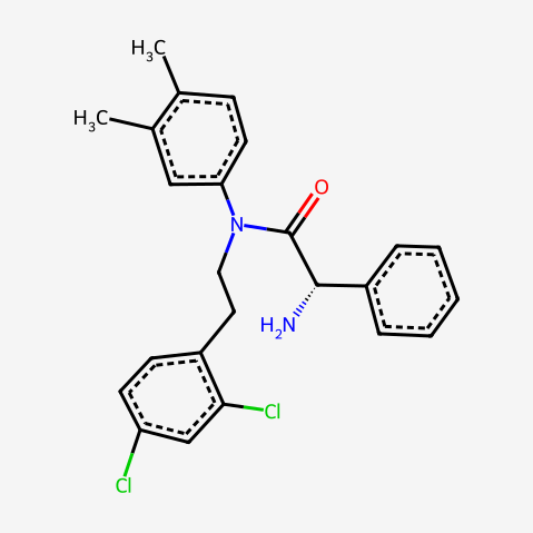 Cc1ccc(N(CCc2ccc(Cl)cc2Cl)C(=O)[C@@H](N)c2ccccc2)cc1C